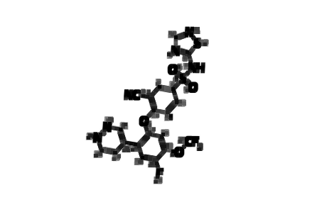 N#Cc1cc(S(=O)(=O)Nc2ncns2)ccc1Oc1cc(OC(F)(F)F)c(F)cc1-c1ccnnc1